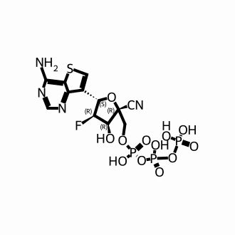 N#C[C@]1(COP(=O)(O)OP(=O)(O)OP(=O)(O)O)O[C@@H](c2csc3c(N)ncnc23)[C@H](F)[C@@H]1O